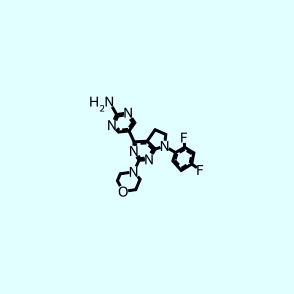 Nc1ncc(-c2nc(N3CCOCC3)nc3c2CCN3c2ccc(F)cc2F)cn1